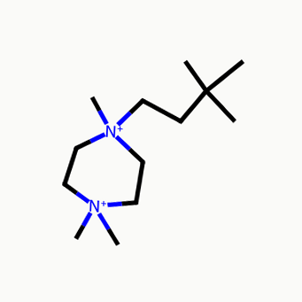 CC(C)(C)CC[N+]1(C)CC[N+](C)(C)CC1